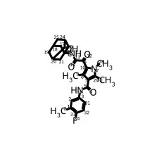 Cc1cc(NC(=O)c2c(C)c(C(=O)C(=O)NC34CC5CC(C3)C(O)C(C5)C4)n(C)c2C)ccc1F